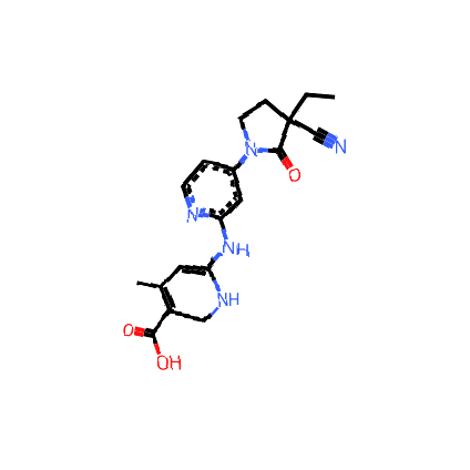 CCC1(C#N)CCN(c2ccnc(NC3=CC(C)=C(C(=O)O)CN3)c2)C1=O